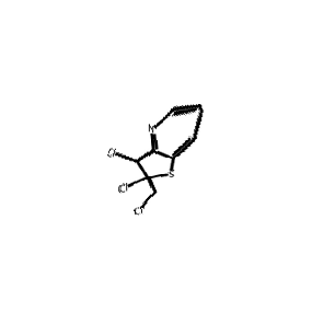 ClCC1(Cl)Sc2cccnc2C1Cl